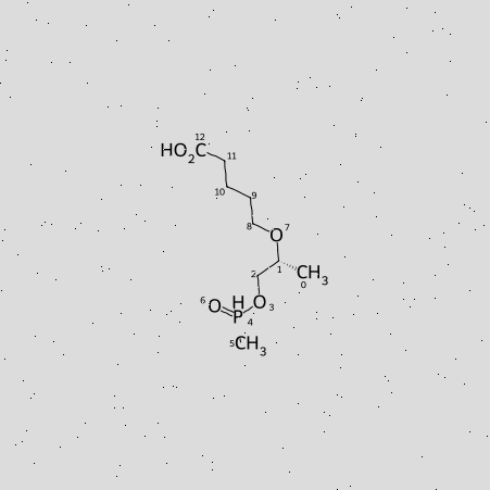 C[C@H](CO[PH](C)=O)OCCCCC(=O)O